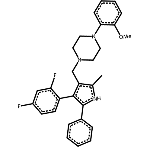 COc1ccccc1N1CCN(Cc2c(C)[nH]c(-c3ccccc3)c2-c2ccc(F)cc2F)CC1